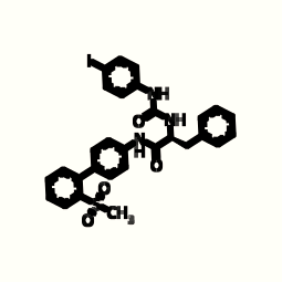 CS(=O)(=O)c1ccccc1-c1ccc(NC(=O)[C@H](Cc2ccccc2)NC(=O)Nc2ccc(I)cc2)cc1